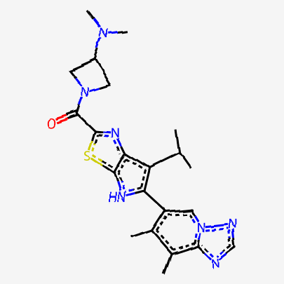 Cc1c(-c2[nH]c3sc(C(=O)N4CC(N(C)C)C4)nc3c2C(C)C)cn2ncnc2c1C